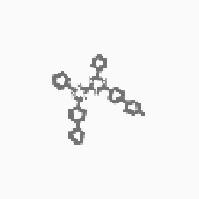 Cc1ccc(-c2ccc(-c3nc(-c4ccccc4)nc(-c4nc(-c5ccccc5)nc(-c5ccc(-c6ccccc6)cc5)n4)n3)cc2)cc1